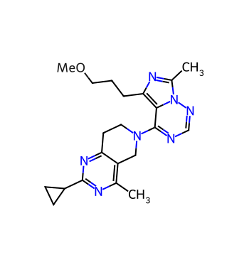 COCCCc1nc(C)n2ncnc(N3CCc4nc(C5CC5)nc(C)c4C3)c12